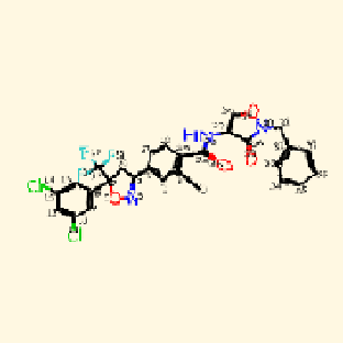 Cc1cc(C2=NOC(c3cc(Cl)cc(Cl)c3)(C(F)(F)F)C2)ccc1C(=O)NC1CON(Cc2ccccc2)C1=O